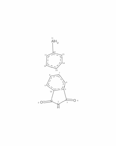 O=C1NC(=O)c2ccccc21.[AlH2][c]1ccccc1